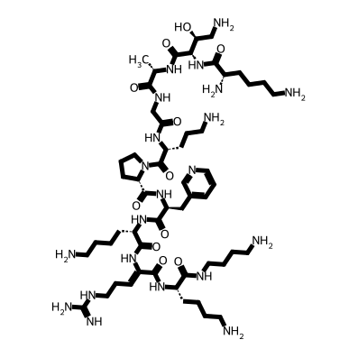 C[C@H](NC(=O)[C@@H](NC(=O)[C@@H](N)CCCCN)[C@@H](O)CN)C(=O)NCC(=O)N[C@H](CCCN)C(=O)N1CCC[C@H]1C(=O)N[C@@H](Cc1cccnc1)C(=O)N[C@@H](CCCCN)C(=O)N/C(=C\CCNC(=N)N)C(=O)N[C@@H](CCCCN)C(=O)NCCCCN